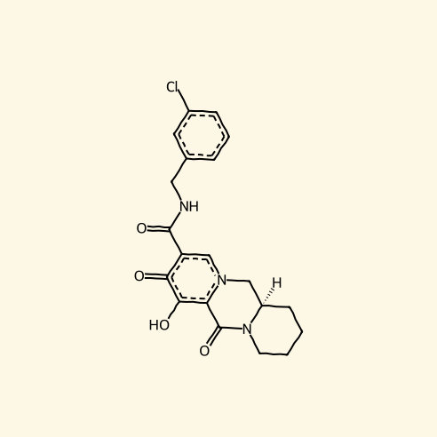 O=C(NCc1cccc(Cl)c1)c1cn2c(c(O)c1=O)C(=O)N1CCCC[C@@H]1C2